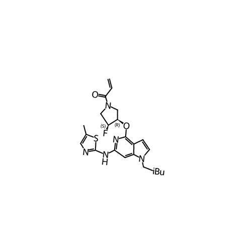 C=CC(=O)N1C[C@H](F)[C@H](Oc2nc(Nc3ncc(C)s3)cc3c2ccn3CC(C)CC)C1